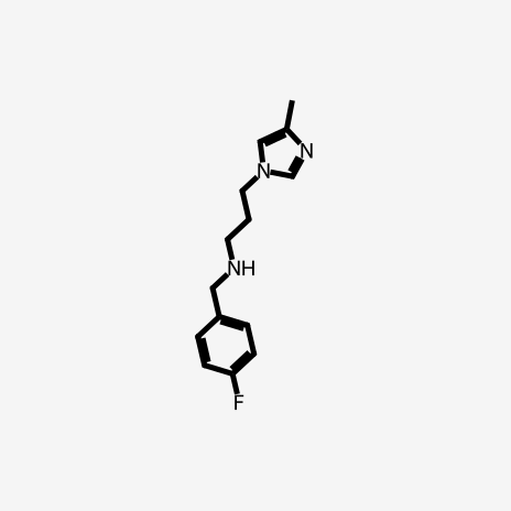 Cc1cn(CCCNCc2ccc(F)cc2)cn1